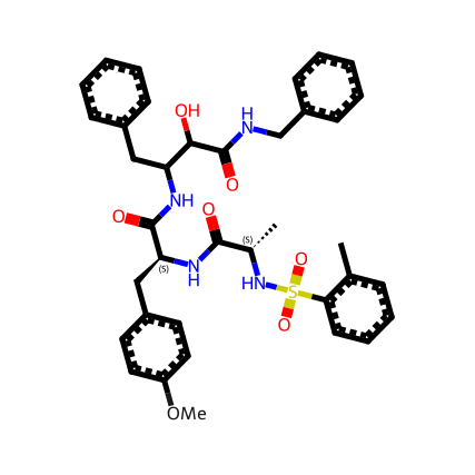 COc1ccc(C[C@H](NC(=O)[C@H](C)NS(=O)(=O)c2ccccc2C)C(=O)NC(Cc2ccccc2)C(O)C(=O)NCc2ccccc2)cc1